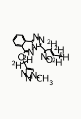 [2H]c1c(-c2nnc3c4ccccc4c(OC([2H])([2H])c4cn(C)nn4)nn23)noc1C([2H])([2H])[2H]